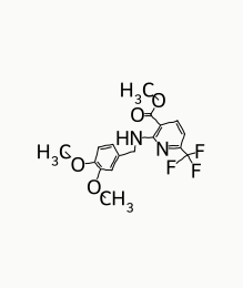 COC(=O)c1ccc(C(F)(F)F)nc1NCc1ccc(OC)c(OC)c1